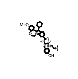 COc1ccc2c(c1)OCCn1c-2c(C2CCCCC2)c2ccc(C(=O)N[C@@H](Cc3ccc(O)cc3)C(=O)NCCN(C)C)cc21